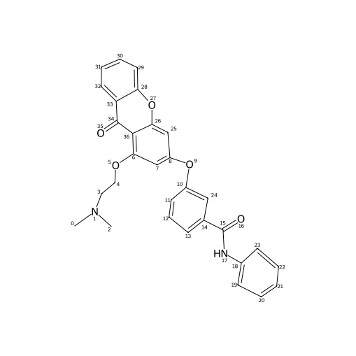 CN(C)CCOc1cc(Oc2cccc(C(=O)Nc3ccccc3)c2)cc2oc3ccccc3c(=O)c12